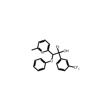 CCC(O)(c1cccc(C(F)(F)F)c1)C(Oc1ccccc1)c1cccc(C)n1